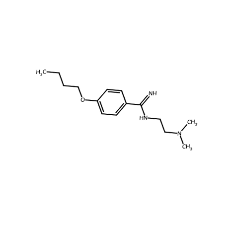 CCCCOc1ccc(C(=N)NCCN(C)C)cc1